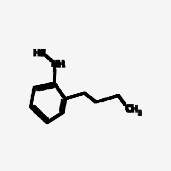 CCCCc1ccccc1NS